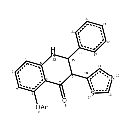 CC(=O)Oc1cccc2c1C(=O)C(c1cncs1)C(c1ccccc1)N2